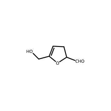 O=CC1CC=C(CO)O1